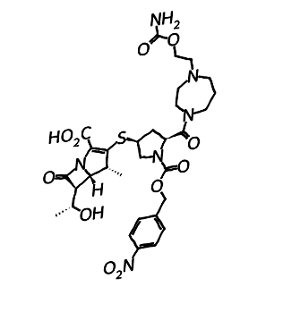 C[C@@H](O)[C@H]1C(=O)N2C(C(=O)O)=C(S[C@H]3C[C@@H](C(=O)N4CCCN(CCOC(N)=O)CC4)N(C(=O)OCc4ccc([N+](=O)[O-])cc4)C3)[C@H](C)[C@H]12